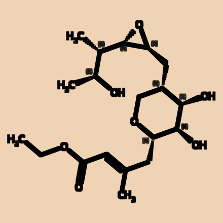 CCOC(=O)C=C(C)C[C@@H]1OC[C@H](C[C@@H]2O[C@H]2[C@@H](C)[C@H](C)O)[C@@H](O)[C@H]1O